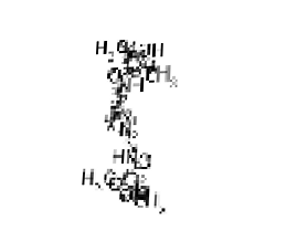 COc1cc(C(=O)NCCCN2CCCN(CCCNC(=O)c3cc(OC)c(O)c(OC)c3)CC2)cc(OC)c1O